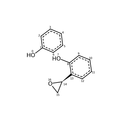 Oc1ccccc1.Oc1ccccc1[C@H]1CO1